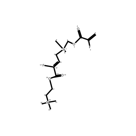 C=C(F)C(=O)OC[Si](C)(C)C/C=C(\F)C(=O)OCC[Si](C)(C)C